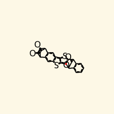 O=C1C(=O)C2C=CC1c1cc3sc4c5c(sc4c3cc12)C1C(=O)C(=O)C5c2ccccc21